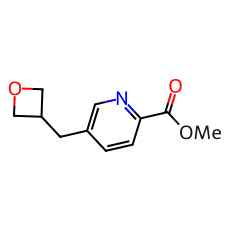 COC(=O)c1ccc(CC2COC2)cn1